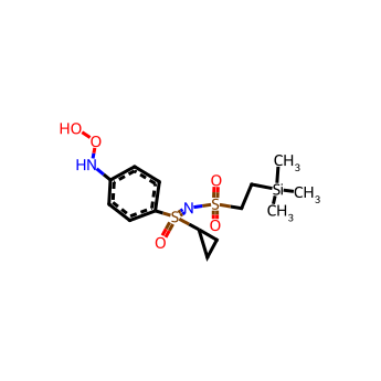 C[Si](C)(C)CCS(=O)(=O)N=S(=O)(c1ccc(NOO)cc1)C1CC1